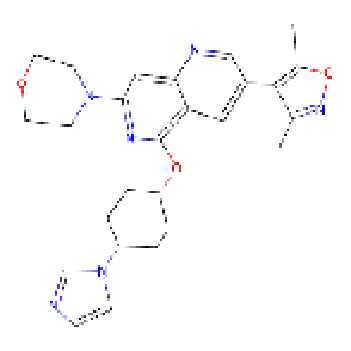 Cc1noc(C)c1-c1cnc2cc(N3CCOCC3)nc(O[C@H]3CC[C@@H](n4ccnc4)CC3)c2c1